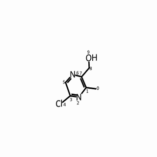 Cc1nc(Cl)cnc1CO